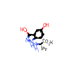 CC(C)[C@H](N)C(=O)O.Oc1ccc2[nH]nc(O)c2c1